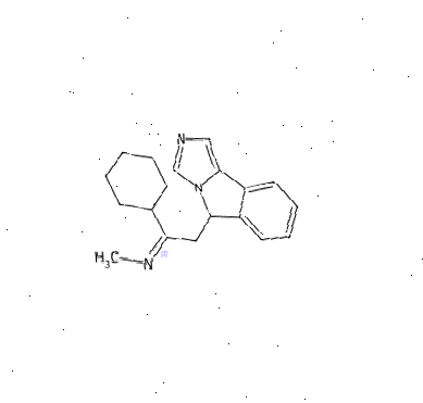 C/N=C(/CC1c2ccccc2-c2cncn21)C1CCCCC1